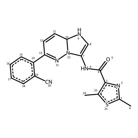 Cc1nc(C(=O)NC2=CNC3C=CC(c4ccccc4C#N)=NN23)c(C)s1